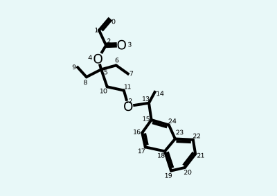 C=CC(=O)OC(CC)(CC)CCOC(C)c1ccc2ccccc2c1